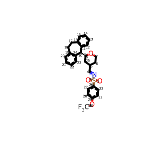 O=S(=O)(/N=C/C1CCO[C@H](C2c3ccccc3CCc3ccccc32)C1)c1ccc(OC(F)(F)F)cc1